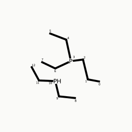 CCCP(CC)CC.CCPCC